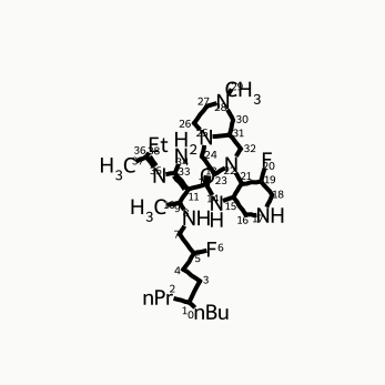 CCCCC(CCC)CCC(F)CNC(C)/C(C(=O)NC1CNCC(F)C1N1CCN2CCN(C)CC2C1)=C(N)\N=C(\C)CC